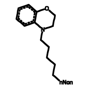 CCCCCCCCCCCCCCN1CCOc2ccccc21